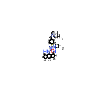 CN/S(=N\C(=O)Nc1c2c(cc3c1CCC3)CCC2)c1ccc(CN(C)C)cc1